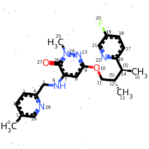 Cc1ccc(CNc2cc(OC[C@@H](C)[C@H](C)c3ccc(F)cn3)nn(C)c2=O)nc1